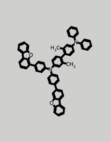 Cc1cc(N(c2ccccc2)c2ccccc2)ccc1-c1ccc(N(c2ccc(-c3ccc4c(c3)oc3ccccc34)cc2)c2ccc(-c3cccc4c3oc3ccccc34)cc2)cc1C